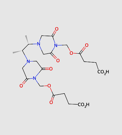 C[C@H]([C@H](C)N1CC(=O)N(COC(=O)CCC(=O)O)C(=O)C1)N1CC(=O)N(COC(=O)CCC(=O)O)C(=O)C1